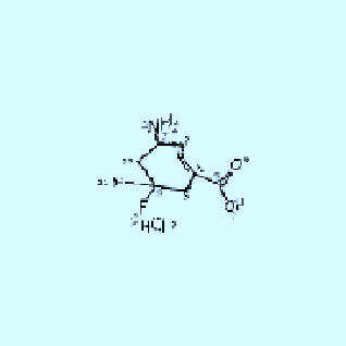 Cl.N[C@H]1C=C(C(=O)O)CC(F)(F)C1